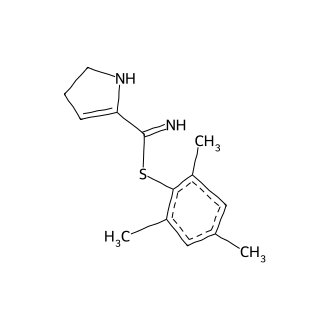 Cc1cc(C)c(SC(=N)C2=CCCN2)c(C)c1